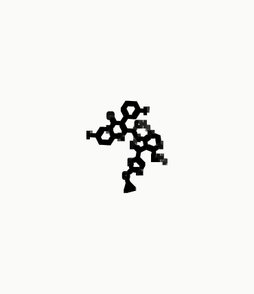 C[C@@H](c1nc2ccc(F)cn2c(=O)c1-c1cccc(F)c1)n1nc(-c2cnc(OC3CC3)s2)c2c(N)ncnc21